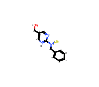 OCc1cnc(N(S)Cc2ccccc2)nc1